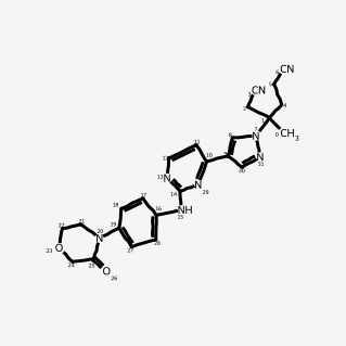 CC(CC#N)(CCC#N)n1cc(-c2ccnc(Nc3ccc(N4CCOCC4=O)cc3)n2)cn1